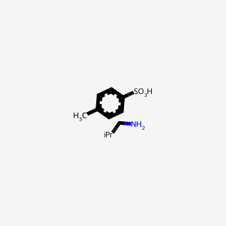 CC(C)CN.Cc1ccc(S(=O)(=O)O)cc1